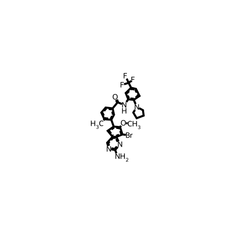 COc1c(-c2cc(C(=O)Nc3cc(C(F)(F)F)ccc3N3CCCC3)ccc2C)cc2cnc(N)nc2c1Br